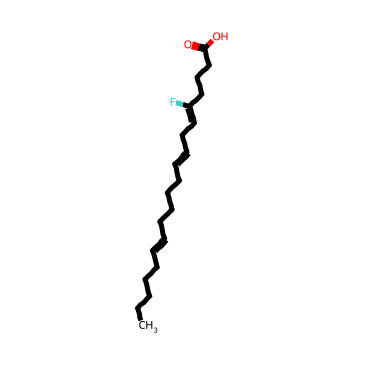 CCCCCC=CCCCCC=CCC=C(F)CCCC(=O)O